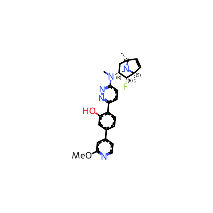 COc1cc(-c2ccc(-c3ccc(N(C)[C@@H]4C[C@@]5(C)C=C[C@@](C)([C@@H]4F)N5C)nn3)c(O)c2)ccn1